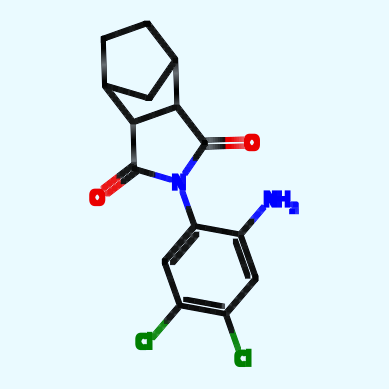 Nc1cc(Cl)c(Cl)cc1N1C(=O)C2C3CCC(C3)C2C1=O